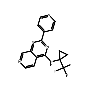 FC(F)(F)C1(Nc2nc(-c3ccncc3)nc3cnccc23)CC1